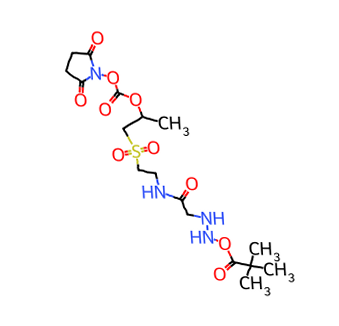 CC(CS(=O)(=O)CCNC(=O)CNNOC(=O)C(C)(C)C)OC(=O)ON1C(=O)CCC1=O